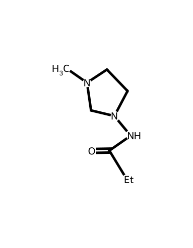 CCC(=O)NN1CCN(C)C1